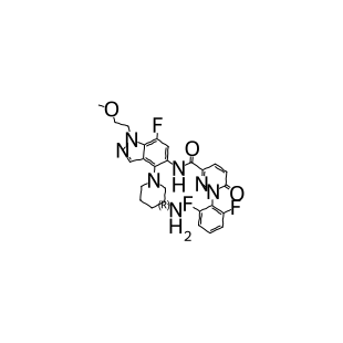 COCCn1ncc2c(N3CCC[C@@H](N)C3)c(NC(=O)c3ccc(=O)n(-c4c(F)cccc4F)n3)cc(F)c21